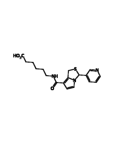 O=C(O)CCCCCNC(=O)c1ccn2c1CSC2c1cccnc1